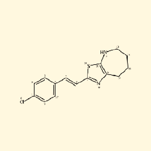 Clc1ccc(C=Cc2nc3c(s2)NCCCC3)cc1